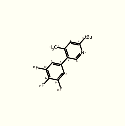 Cc1cc(C(C)(C)C)ncc1-c1cc(F)c(F)c(F)c1